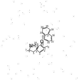 Cc1ccc(CC(C)N)c(C)c1Oc1cccc2ccccc12